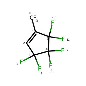 FC(F)(F)C1=CC(F)(F)C(F)(F)C1(F)F